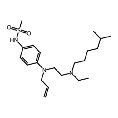 C=CCN(CCN(CC)CCCCC(C)C)c1ccc(NS(C)(=O)=O)cc1